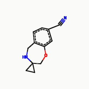 N#Cc1ccc2c(c1)OCC1(CC1)NC2